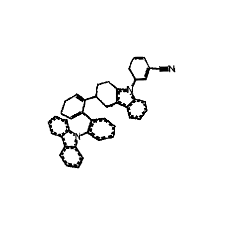 N#CC1=CC(n2c3c(c4ccccc42)CC(C2=CCCC=C2c2ccccc2-n2c4ccccc4c4ccccc42)CC3)CC=C1